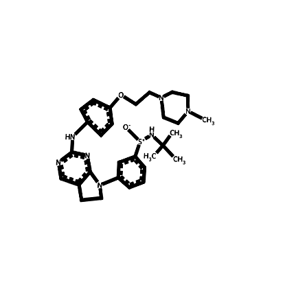 CN1CCN(CCOc2ccc(Nc3ncc4c(n3)N(c3cccc([S+]([O-])NC(C)(C)C)c3)CC4)cc2)CC1